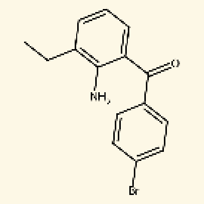 CCc1cccc(C(=O)c2ccc(Br)cc2)c1N